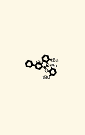 CC(C)(C)c1cccc(C(C)(C)C)c1OP(Oc1c(C(C)(C)C)cccc1C(C)(C)C)c1ccc(-c2ccccc2)cc1